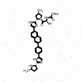 COC(=O)N[C@H](C(=O)N1C[C@H](C)C[C@H]1c1nc(-c2ccc3cc(-c4ccc(-c5cnc([C@@H]6CC[C@@H](C)N6)[nH]5)cc4)ccc3c2)c[nH]1)C(C)C